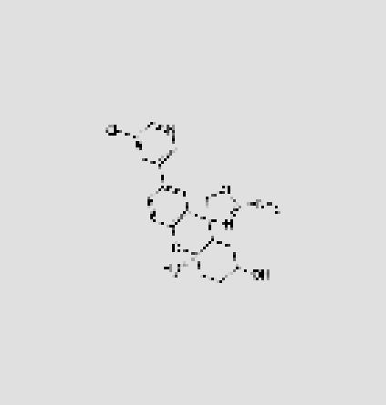 C[C@@]12CCC(O)CC1[C@@]1(COC(N)=N1)c1cc(-c3cncc(Cl)c3)ccc1O2